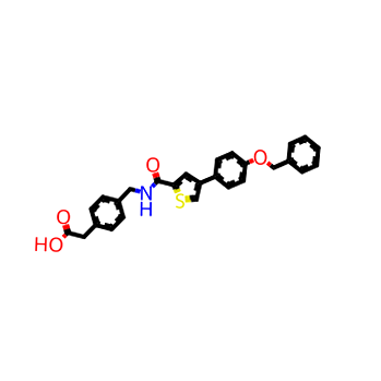 O=C(O)Cc1ccc(CNC(=O)c2cc(-c3ccc(OCc4ccccc4)cc3)cs2)cc1